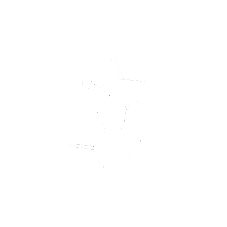 COC(=O)C(N)(CCC(=O)O)C(=O)OC(C)(C)C